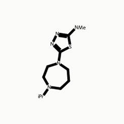 CNc1nnc(N2CCCN(C(C)C)CC2)s1